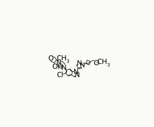 COCC12CC(n3cc(-n4ncc5cc(Cl)c(N6CCN(C7(C)COCC7O)CC6)cc54)cn3)(C1)C2